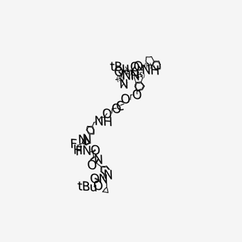 C[C@@H](C(=O)N[C@H](C(=O)N1Cc2cc(OCCOCCOCCOCCNCc3ccc(-n4cc(NC(=O)c5coc(-c6ccnc(N(CC7CC7)C(=O)OC(C)(C)C)c6)n5)c(C(F)F)n4)cc3)ccc2C[C@H]1C(=O)N[C@@H]1CCCc2ccccc21)C(C)(C)C)N(C)C